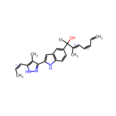 C=C/C=C\C=C(/C)C(O)(CC)c1ccc2[nH]c(-c3n[nH]c(/C=C\C)c3C)cc2c1